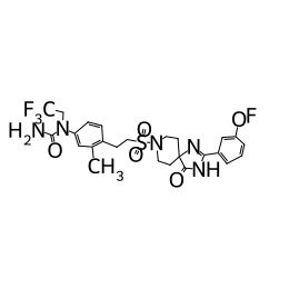 Cc1cc(N(CC(F)(F)F)C(N)=O)ccc1CCS(=O)(=O)N1CCC2(CC1)N=C(c1cccc(OF)c1)NC2=O